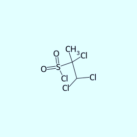 CC(Cl)(C(Cl)Cl)S(=O)(=O)Cl